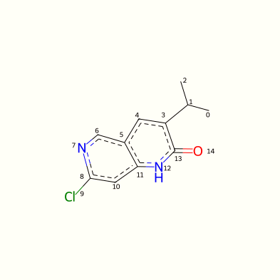 CC(C)c1cc2cnc(Cl)cc2[nH]c1=O